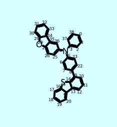 c1ccc(N(c2ccc(-c3cccc4c3sc3ccccc34)cc2)c2ccc3oc4ccccc4c3c2)cc1